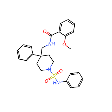 COc1ccccc1C(=O)NCC1(c2ccccc2)CCN(S(=O)(=O)Nc2ccccc2)CC1